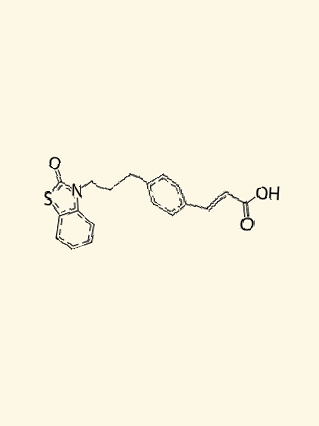 O=C(O)/C=C/c1ccc(CCCn2c(=O)sc3ccccc32)cc1